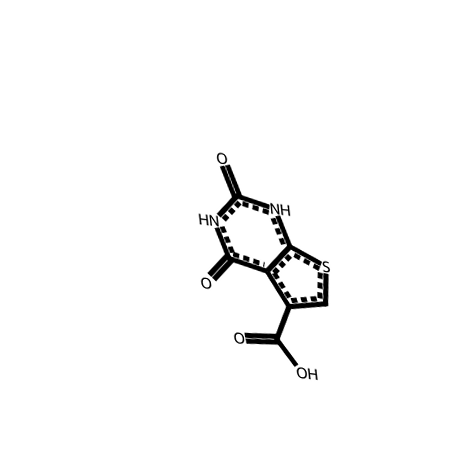 O=C(O)c1csc2[nH]c(=O)[nH]c(=O)c12